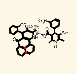 CC(=O)C1=C(C)NC(C)=C(C(=O)OC(C)C)C1c1cccc([N+](=O)[O-])c1.CCOC(=O)C1=C(C)NC(c2ccccc2)=C(C(=O)c2ccccc2)C1c1ccccc1C(F)(F)F